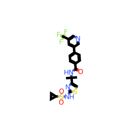 CC(C)(NC(=O)c1ccc(-c2cncc(C(F)(F)F)c2)cc1)c1csc(NS(=O)(=O)C2CC2)n1